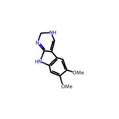 COc1cc2[nH]c3c(c2cc1OC)=CNCN=3